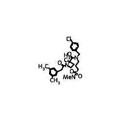 CNS(=O)(=O)CCCN(Cc1ccc(Cl)cc1)C(=O)C1(C)CCN1C(=O)Cc1cc(C)cc(C)c1